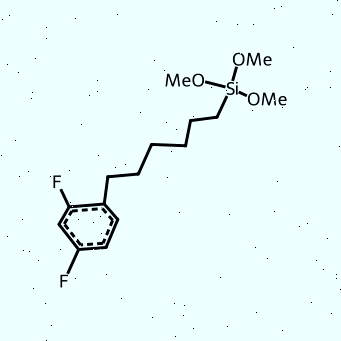 CO[Si](CCCCCCc1ccc(F)cc1F)(OC)OC